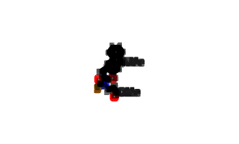 CNC1c2ccccc2-c2cc(/C=C3/OC(=S)N(CCC(=O)OC)C3=O)ccc21